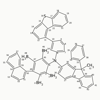 Bc1c(B)c(N(c2cccc(-c3cccc4sc5ccccc5c34)c2)c2ccc3c(c2)C(C)(c2ccccc2)c2ccccc2-3)c(B)c(B)c1-c1cccc2ccccc12